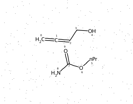 C=C=CCO.CCCOC(N)=O